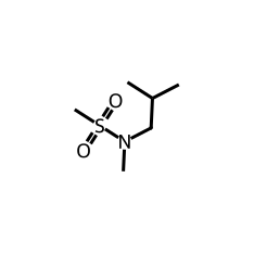 CC(C)CN(C)S(C)(=O)=O